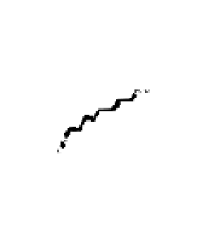 CCCCCCCC=CCC=CCC=C=O